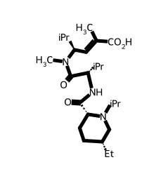 CC[C@@H]1CC[C@H](C(=O)N[C@H](C(=O)N(C)[C@H](/C=C(\C)C(=O)O)C(C)C)C(C)C)N(C(C)C)C1